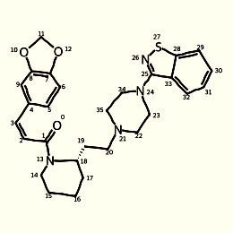 O=C(/C=C\c1ccc2c(c1)OCO2)N1CCCC[C@H]1CCN1CCN(c2nsc3ccccc23)CC1